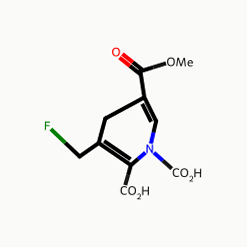 COC(=O)C1=CN(C(=O)O)C(C(=O)O)=C(CF)C1